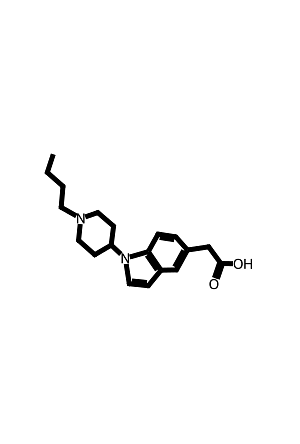 CCCCN1CCC(n2ccc3cc(CC(=O)O)ccc32)CC1